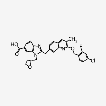 Cc1cc2ccc(Cc3nc4ccc(C(=O)O)cc4n3C[C@@H]3CCO3)cc2nc1OCc1ccc(Cl)cc1F